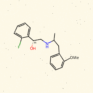 COc1ccccc1CC(C)NC[C@H](O)c1ccccc1F